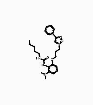 CCCCCNC(=O)Nc1c(OCCCn2cc(-c3ccccc3)nn2)cccc1N(C)C